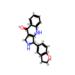 O=c1c2c([nH]c3ccccc13)C(c1ccc3c(c1)CCO3)NC2